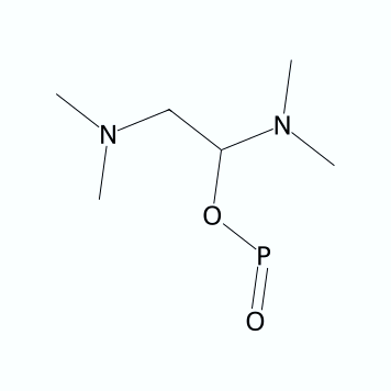 CN(C)CC(OP=O)N(C)C